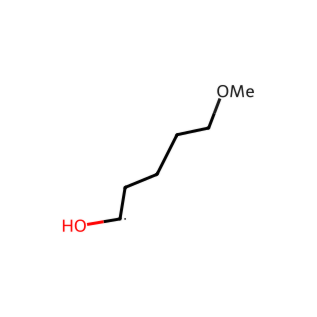 COCCCC[CH]O